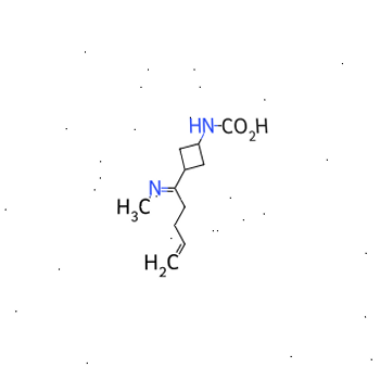 C=CCC/C(=N\C)C1CC(NC(=O)O)C1